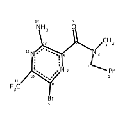 CC(C)CN(C)C(=O)c1nc(Br)c(C(F)(F)F)nc1N